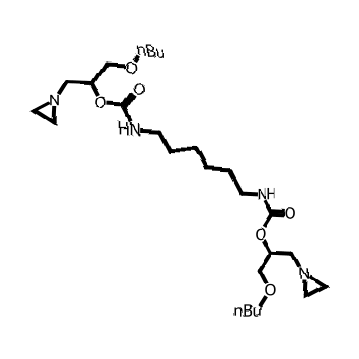 CCCCOCC(CN1CC1)OC(=O)NCCCCCCNC(=O)OC(COCCCC)CN1CC1